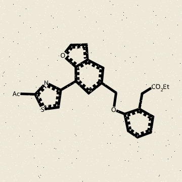 CCOC(=O)Cc1ccccc1OCc1cc(-c2csc(C(C)=O)n2)c2occc2c1